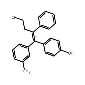 Cc1cccc(/C(=C(\CCCl)c2ccccc2)c2ccc(O)cc2)c1